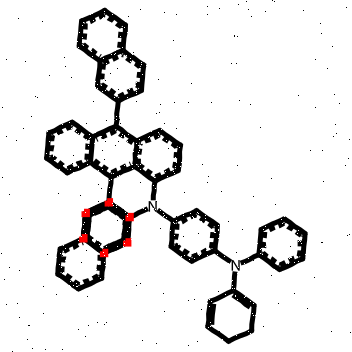 C1=CC(N(c2ccccc2)c2ccc(N(c3ccccc3)c3cccc4c(-c5ccc6ccccc6c5)c5ccccc5c(-c5ccc6ccccc6c5)c34)cc2)=CCC1